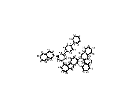 c1ccc(-c2ccc(-c3nc(-c4ccc5ccccc5c4)nc(-c4cccc5oc6cc(-c7cc8ccccc8c8oc9ccccc9c78)ccc6c45)n3)cc2)cc1